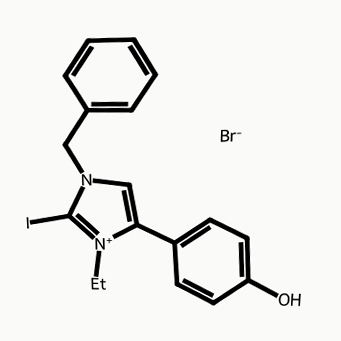 CC[n+]1c(-c2ccc(O)cc2)cn(Cc2ccccc2)c1I.[Br-]